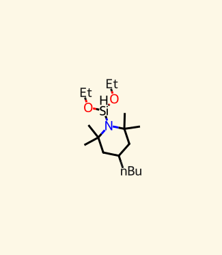 CCCCC1CC(C)(C)N([SiH](OCC)OCC)C(C)(C)C1